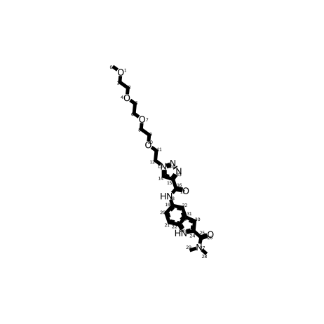 COCCOCCOCCOCCn1cc(C(=O)Nc2ccc3[nH]c(C(=O)N(C)C)cc3c2)nn1